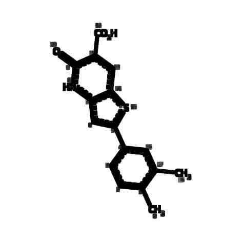 Cc1ccc(-c2cc3[nH]c(=O)c(C(=O)O)cc3s2)cc1C